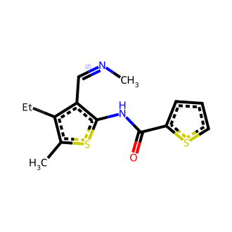 CCc1c(C)sc(NC(=O)c2cccs2)c1/C=N\C